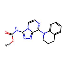 CC(C)OC(=O)Nc1nnc2c(N3CCCc4ccccc43)nccn12